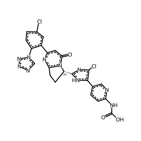 O=C(O)Nc1ccc(-c2[nH]c([C@@H]3CCc4nc(-c5cc(Cl)ccc5-n5cnnn5)cc(=O)n43)nc2Cl)cn1